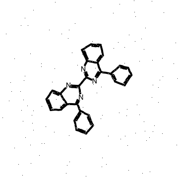 c1ccc(-c2nc(-c3nc(-c4ccccc4)c4ccccc4n3)nc3ccccc23)cc1